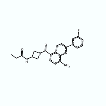 CCC(=O)NC1CN(C(=O)c2cnc(N)c3nc(-c4cccc(F)c4)ccc23)C1